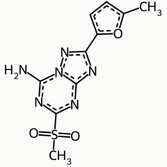 Cc1ccc(-c2nc3nc(S(C)(=O)=O)nc(N)n3n2)o1